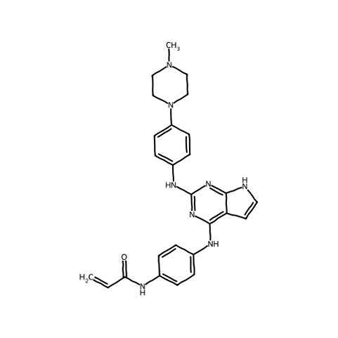 C=CC(=O)Nc1ccc(Nc2nc(Nc3ccc(N4CCN(C)CC4)cc3)nc3[nH]ccc23)cc1